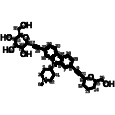 CN1CCC(n2c3cc(C#CC4CCCC(CO)O4)ccc3c3ccc(C#C[C@H]4O[C@H](CO)[C@@H](O)[C@H](O)[C@@H]4O)cc32)CC1